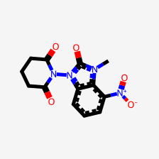 Cn1c(=O)n(N2C(=O)CCCC2=O)c2cccc([N+](=O)[O-])c21